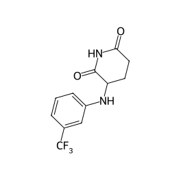 O=C1CCC(Nc2cccc(C(F)(F)F)c2)C(=O)N1